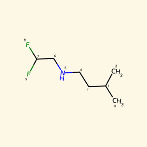 CC(C)CCNCC(F)F